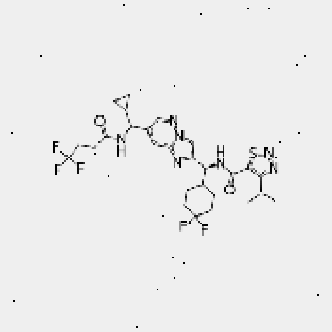 CC(C)c1nnsc1C(=O)N[C@H](c1cn2ncc(C(NC(=O)CCC(F)(F)F)C3CC3)cc2n1)C1CCC(F)(F)CC1